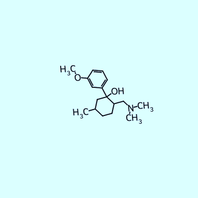 COc1cccc(C2(O)CC(C)CCC2CN(C)C)c1